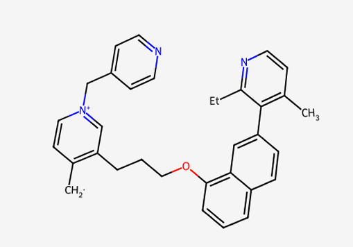 [CH2]c1cc[n+](Cc2ccncc2)cc1CCCOc1cccc2ccc(-c3c(C)ccnc3CC)cc12